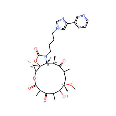 CO[C@@]1(C)CC(C)C(=O)[C@H](C)[C@H]2N(CCCCn3cnc(-c4cccnc4)c3)C(=O)OC23C(OC(=O)C(C)C(=O)C(C)C1O)[C@@H]3C